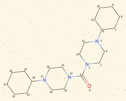 O=C(N1CCN(C2CCCCC2)CC1)N1CCN(C2CCCCC2)CC1